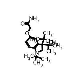 CC(C)(C)N1CC(C(C)(C)C)(C(C)(C)C)c2cc(OCC(N)=O)ccc21